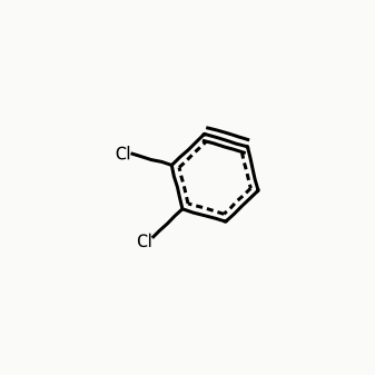 Clc1c#cccc1Cl